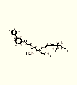 CCN(CC=CC#CC(C)(C)CC)CCOCCOc1cccc(-c2ccsc2)c1.Cl